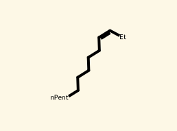 [CH2]CCCCCCCCC/C=C\CC